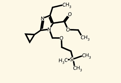 CCOC(=O)c1c(CC)nc(C2CC2)n1COCC[Si](C)(C)C